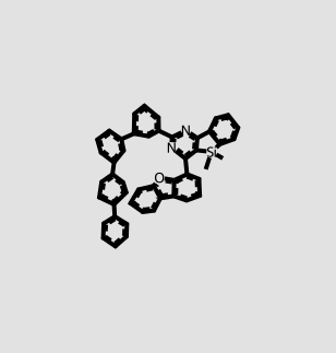 C[Si]1(C)c2ccccc2-c2nc(-c3cccc(-c4cccc(-c5ccc(-c6ccccc6)cc5)c4)c3)nc(-c3cccc4c3oc3ccccc34)c21